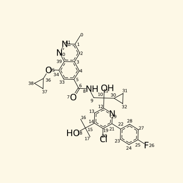 Cc1cc2cc(C(=O)NCC(O)(c3cc(C(C)(C)O)c(Cl)c(-c4ccc(F)cc4)n3)C3CC3)cc(OC3CC3)c2nn1